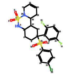 O=S1(=O)NC2CCC(c3cc(F)ccc3F)(S(=O)(=O)c3ccc(Cl)cc3)CC2C2CC=CCN21